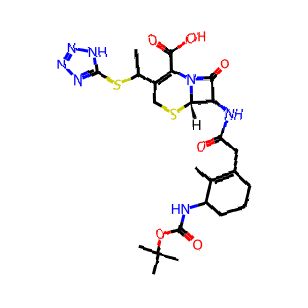 CC1=C(CC(=O)NC2C(=O)N3C(C(=O)O)=C(C(C)Sc4nnn[nH]4)CS[C@@H]23)CCCC1NC(=O)OC(C)(C)C